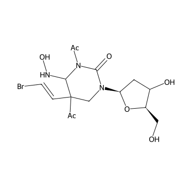 CC(=O)N1C(=O)N([C@H]2CC(O)[C@@H](CO)O2)CC(C=CBr)(C(C)=O)C1NO